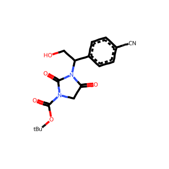 CC(C)(C)OC(=O)N1CC(=O)N(C(CO)c2ccc(C#N)cc2)C1=O